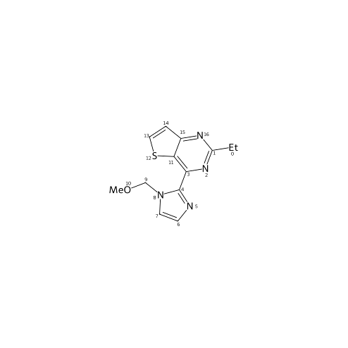 CCc1nc(-c2nccn2COC)c2sccc2n1